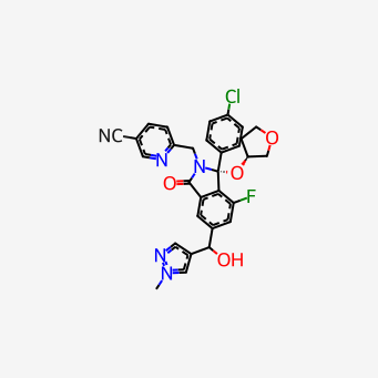 Cn1cc(C(O)c2cc(F)c3c(c2)C(=O)N(Cc2ccc(C#N)cn2)[C@@]3(O[C@H]2CCOC2)c2ccc(Cl)cc2)cn1